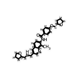 Cc1c(NC(=O)c2ccc(OC[C@@H]3CCCO3)cc2)ccc2cc(CNCC3CCCO3)cnc12